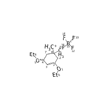 CCOC1=CC(=[O+]CC)CC(C)(C)C1.F[B-](F)(F)F